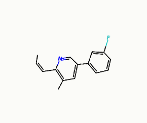 C/C=C\c1ncc(-c2cccc(F)c2)cc1C